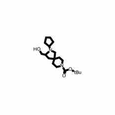 CC(C)(C)OC(=O)N1CCC2(CC1)CC(CO)N(C1CCCC1)C2